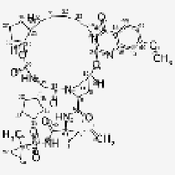 C=C[C@@H]1C[C@]1(NC(=O)[C@@H]1C[C@@H]2CN1C(=O)[C@H](C1CCCC1)NC(=O)O[C@@H]1CCC[C@H]1CCCCCn1c(nc3cc(OC)ccc3c1=O)O2)C(=O)NS(=O)(=O)C1(C)CC1